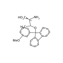 COc1cccc(C2(OC(C)[C@H](N)C(=O)O)c3ccccc3-c3ccccc32)c1